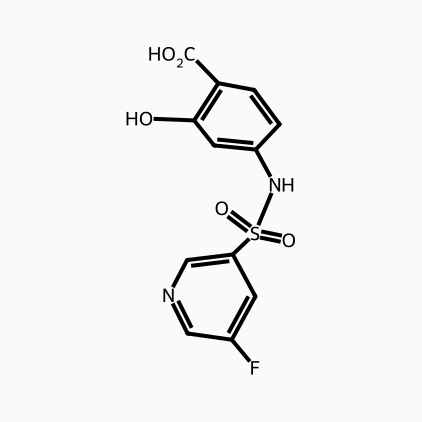 O=C(O)c1ccc(NS(=O)(=O)c2cncc(F)c2)cc1O